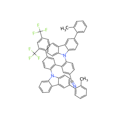 Cc1ccccc1-c1ccc2c(c1)c1ccccc1n2-c1ccc(C#N)cc1-c1cc(-c2ccc(C(F)(F)F)cc2C(F)(F)F)ccc1-n1c2ccccc2c2cc(-c3ccccc3C)ccc21